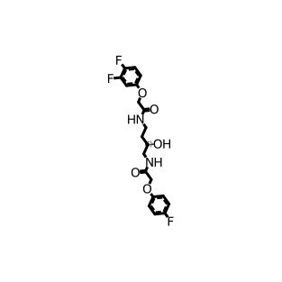 O=C(COc1ccc(F)c(F)c1)NCC[C@H](O)CNC(=O)COc1ccc(F)cc1